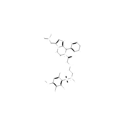 COc1cc(C)c(S(=O)(=O)N(C)CCOCC(=O)N2CCn3c(CN(C)C)ccc3C2C2=CCCC=C2)c(C)c1C